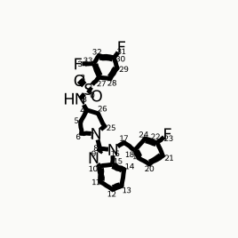 O=S(=O)(NC1CCN(c2nc3ccccc3n2Cc2cccc(F)c2)CC1)c1ccc(F)cc1F